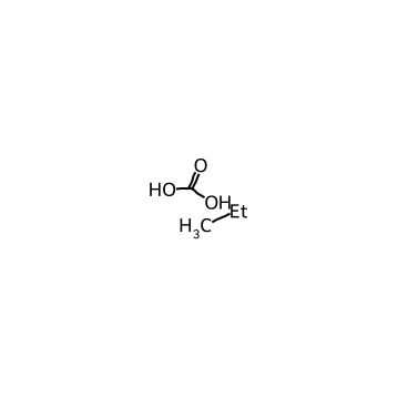 CCC.O=C(O)O